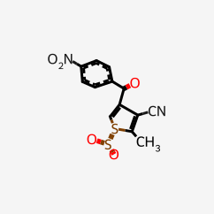 CC1=C(C#N)C(C(=O)c2ccc([N+](=O)[O-])cc2)=CS1=S(=O)=O